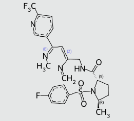 C=N/C(=C\C(=N/C)c1ccc(C(F)(F)F)nc1)CNC(=O)[C@@H]1CC[C@@H](C)N1S(=O)(=O)c1ccc(F)cc1